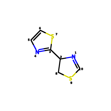 [C]1=NC(c2nccs2)CS1